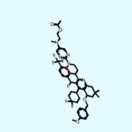 COc1ccc(COC2CC(C)(C)Cc3nc(C4CCN(c5ncc(N(C)CCOC(C)=O)cn5)CC4)c(C(F)c4ccc(C(F)(F)F)cc4)c(C4CCC(F)(F)CC4)c32)cc1